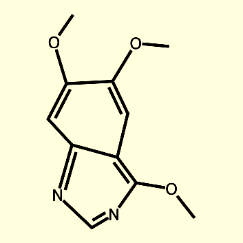 COc1cc2ncnc(OC)c2cc1OC